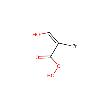 CC(C)C(=CO)C(=O)OO